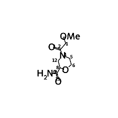 COCC(=O)N1CCOC(C(N)=O)C1